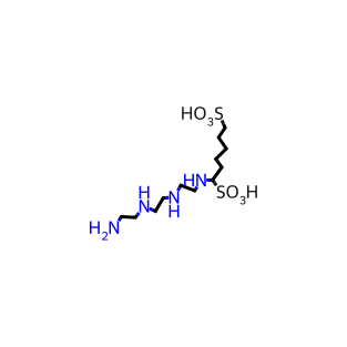 NCCNCCNCCNC(CCCCCS(=O)(=O)O)S(=O)(=O)O